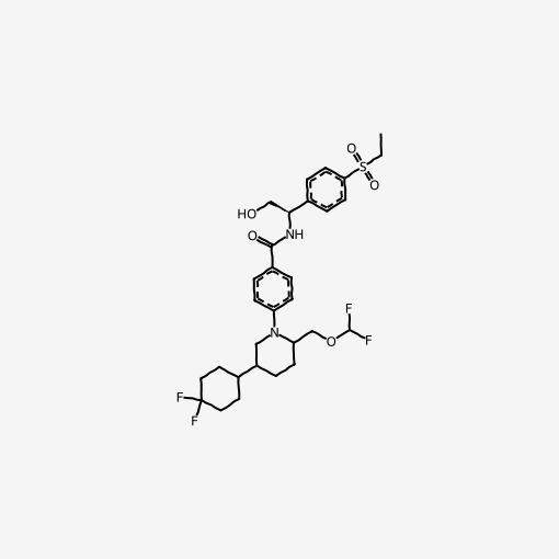 CCS(=O)(=O)c1ccc([C@H](CO)NC(=O)c2ccc(N3CC(C4CCC(F)(F)CC4)CCC3COC(F)F)cc2)cc1